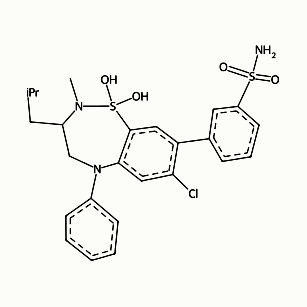 CC(C)CC1CN(c2ccccc2)c2cc(Cl)c(-c3cccc(S(N)(=O)=O)c3)cc2S(O)(O)N1C